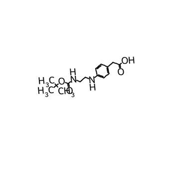 CC(C)(C)OC(=O)NCCNc1ccc(CC(=O)O)cc1